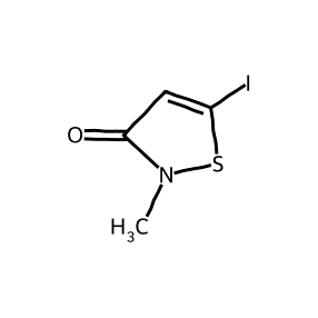 Cn1sc(I)cc1=O